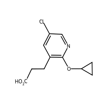 O=C(O)CCc1cc(Cl)cnc1OC1CC1